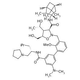 COc1c(CN2O[C@@H](CO)C([C@H](C)O)[C@H]2C(=O)N[C@H]2C[C@H]3C[C@@H]([C@@H]2C)C3(C)C)cccc1-c1cc(C(=O)N[C@@H](CC(C)C)CN2CCCC2)cc(N(C)C)c1